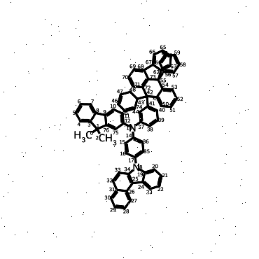 CC1(C)c2ccccc2-c2ccc(N(c3ccc(-n4c5ccccc5c5c6ccccc6ccc54)cc3)c3cccc(C4(C5C=CC=CC5)c5ccccc5C5(c6ccccc6)c6ccccc6-c6cccc4c65)c3)cc21